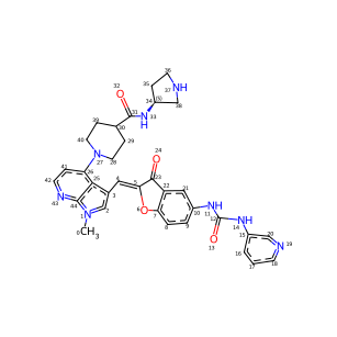 Cn1cc(C=C2Oc3ccc(NC(=O)Nc4cccnc4)cc3C2=O)c2c(N3CCC(C(=O)N[C@H]4CCNC4)CC3)ccnc21